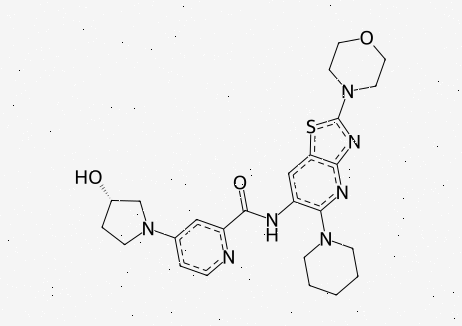 O=C(Nc1cc2sc(N3CCOCC3)nc2nc1N1CCCCC1)c1cc(N2CC[C@H](O)C2)ccn1